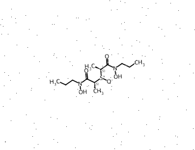 CCCN(O)C(=O)[C@H](C)[S+]([O-])[C@@H](C)C(=O)N(O)CCC